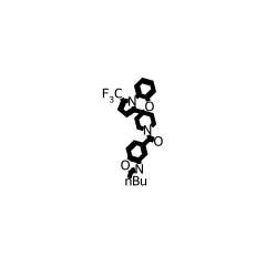 CCCCc1nc2cc(C(=O)N3CCC4(CC3)Oc3ccccc3-n3c(C(F)(F)F)ccc34)ccc2o1